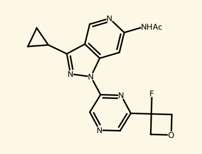 CC(=O)Nc1cc2c(cn1)c(C1CC1)nn2-c1cncc(C2(F)COC2)n1